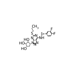 CCCSc1nc(N[C@@H]2C[C@H]2c2ccc(F)c(F)c2)c2nnn([C@@H]3C[C@H](O)[C@@H](O)[C@H]3O)c2n1